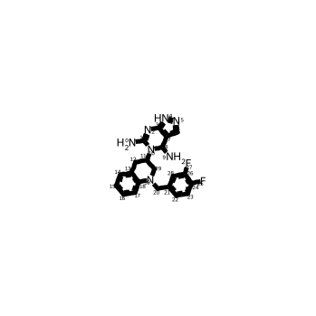 NC1=Nc2[nH]ncc2C(N)N1C1Cc2ccccc2N(Cc2ccc(F)c(F)c2)C1